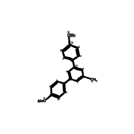 COc1ccc(-c2cc(C)cc(-c3ccc(OC)cc3)c2)cc1